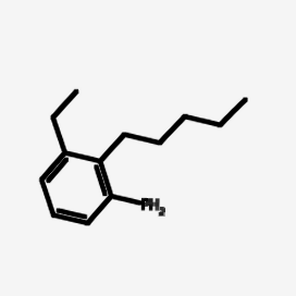 CCCCCc1c(P)cccc1CC